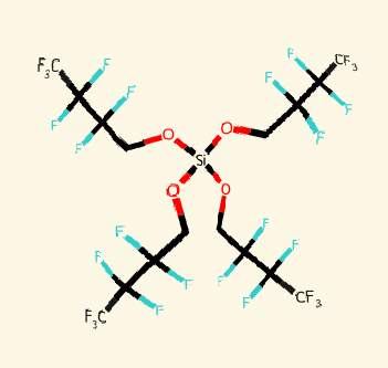 FC(F)(F)C(F)(F)C(F)(F)CO[Si](OCC(F)(F)C(F)(F)C(F)(F)F)(OCC(F)(F)C(F)(F)C(F)(F)F)OCC(F)(F)C(F)(F)C(F)(F)F